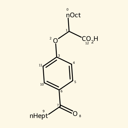 CCCCCCCCC(Oc1ccc(C(=O)CCCCCCC)cc1)C(=O)O